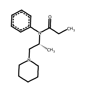 CCC(=O)N(c1ccccc1)[C@H](C)CN1CCCCC1